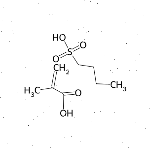 C=C(C)C(=O)O.CCCCS(=O)(=O)O